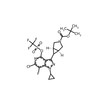 CC(C)(C)OC(=O)N1C[C@@H]2C(c3nn(C4CC4)c4c(F)c(Cl)nc(OS(=O)(=O)C(F)(F)F)c34)[C@@H]2C1